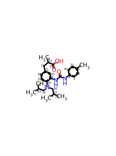 Cc1ccc(NC(=O)Nc2cc(CC(C)C(=O)O)ccc2N(CC(C)C)CC(C)C)cc1